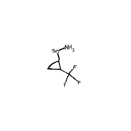 [NH2][Sn][CH]1CC1C(F)(F)F